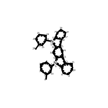 Cc1cccc(-n2c3ccccc3c3cc4c5ccccc5n(-c5cccc(C)c5)c4cc32)c1